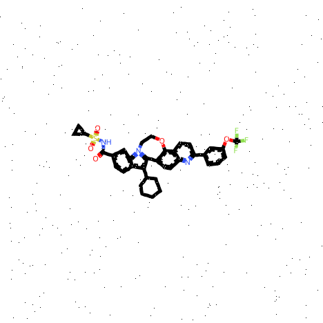 O=C(NS(=O)(=O)C1CC1)c1ccc2c(C3CCCCC3)c3n(c2c1)CCOc1c-3ccc2nc(-c3cccc(OC(F)(F)F)c3)ccc12